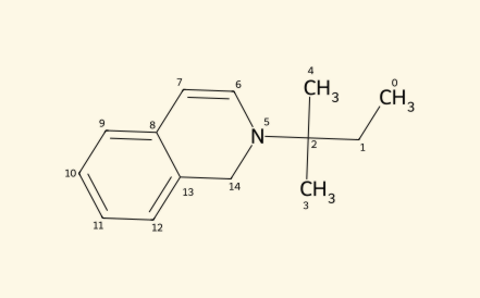 CCC(C)(C)N1C=Cc2ccccc2C1